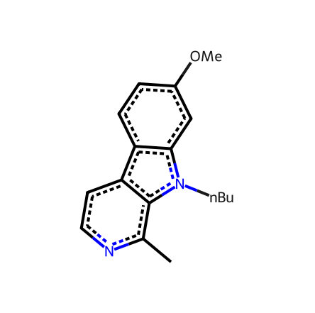 CCCCn1c2cc(OC)ccc2c2ccnc(C)c21